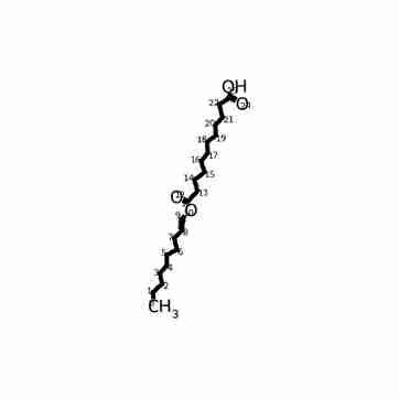 CCCCCCCCC=COC(=O)CCCCCCCCCCC(=O)O